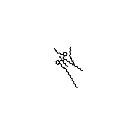 CC#CCCCc1ccccc1C1=C(CCCCCC)C(CCCC)=C(c2ccccc2CCC#CCCCCCCCCCCCCC)[N+]1=[N-].CCCCCCC#[C][Ni][C]#CCCCCCC